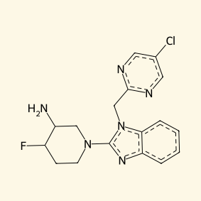 NC1CN(c2nc3ccccc3n2Cc2ncc(Cl)cn2)CCC1F